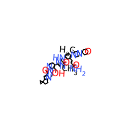 C[C@H]1CN(C2CCOCC2)CCN1c1ccc(Nc2nc(-c3ccnc(N4CCn5c(cc6c5CCC65CC5)C4=O)c3CO)cn(C)c2=O)cc1C=CC(N)=O